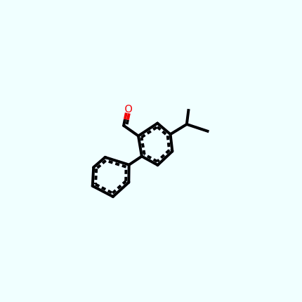 CC(C)c1ccc(-c2ccccc2)c(C=O)c1